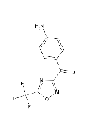 Nc1ccc(C(=O)c2noc(C(F)(F)F)n2)cc1